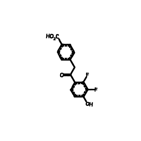 O=C(O)c1ccc(CC(=O)c2ccc(O)c(F)c2F)cc1